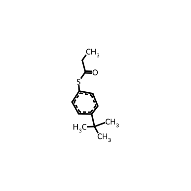 CCC(=O)Sc1ccc(C(C)(C)C)cc1